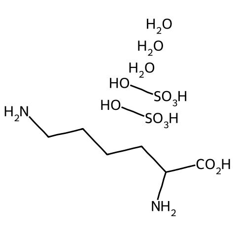 NCCCCC(N)C(=O)O.O.O.O.O=S(=O)(O)O.O=S(=O)(O)O